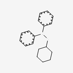 c1ccc([SiH](NC2CCCCC2)c2ccccc2)cc1